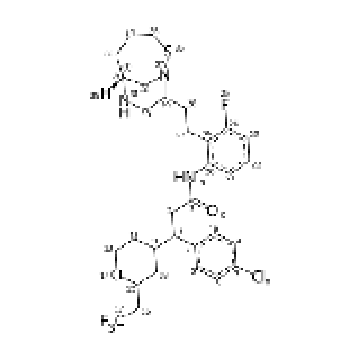 O=C(CC(c1ccc(Cl)cc1)C1CCOC(CC(F)(F)F)C1)Nc1cccc(F)c1CCC1CN[C@@H]2CCCSN1C2